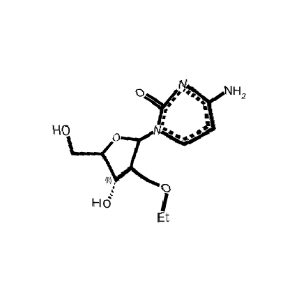 CCOC1C(n2ccc(N)nc2=O)OC(CO)[C@H]1O